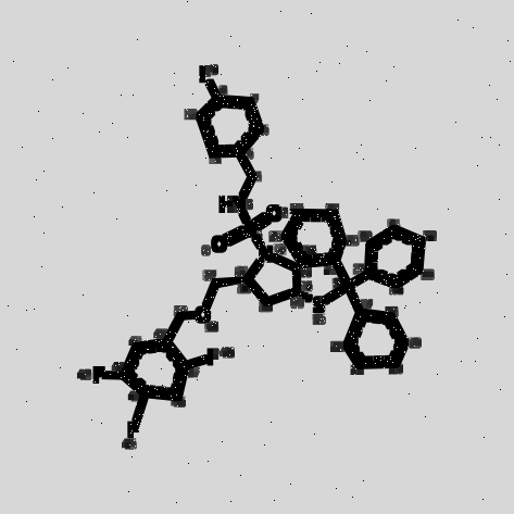 O=S(=O)(NCc1ccc(F)cc1)N1C[C@H](SC(c2ccccc2)(c2ccccc2)c2ccccc2)C[C@H]1COCc1cc(F)c(F)cc1F